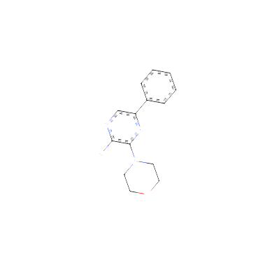 Nc1ncc(-c2ccccc2)nc1N1CCOCC1